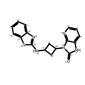 O=c1[nH]c2cccnc2n1C1CC(Nc2nc3ccccc3s2)C1